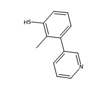 Cc1c(S)cccc1-c1cccnc1